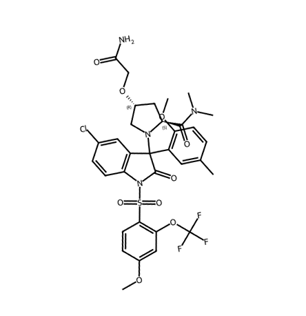 COc1ccc(S(=O)(=O)N2C(=O)C(c3cc(C)ccc3OC)(N3C[C@H](OCC(N)=O)C[C@H]3C(=O)N(C)C)c3cc(Cl)ccc32)c(OC(F)(F)F)c1